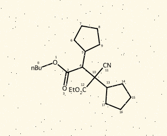 CCCCOC(=O)C(C1CCCC1)C(C#N)(C(=O)OCC)C1CCCC1